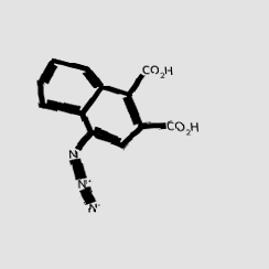 [N-]=[N+]=Nc1cc(C(=O)O)c(C(=O)O)c2ccccc12